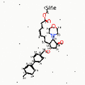 CSCOC(=O)CC/C=C\CCC1[C@@H](OCc2ccc(-c3ccc(C)cc3)cc2)CC(=O)[C@@H]1N1CCOCC1